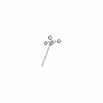 CCCCCCCCCCCCCCCCn1cc(CC(C)c2ccccc2)[n+](Cc2ccccc2)c1Cc1ccccc1